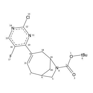 CC(C)(C)OC(=O)N1CC2CC=C(c3nc(Cl)ncc3F)CC1C2